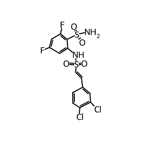 NS(=O)(=O)c1c(F)cc(F)cc1NS(=O)(=O)C=Cc1ccc(Cl)c(Cl)c1